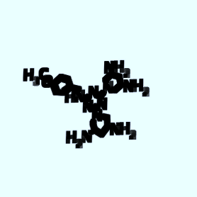 COc1ccc(CNc2nc(N3C[C@H](N)C[C@H](N)C3)nc(N3C[C@H](N)C[C@H](N)C3)n2)cc1